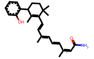 CC(C=CC1=C(C)C(c2ccccc2O)CCC1(C)C)=CC=C/C(C)=C\C(N)=O